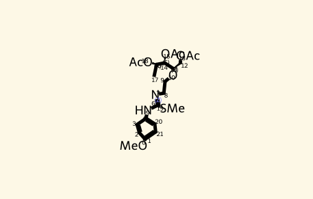 COc1ccc(N/C(=N/CCO[C@H](COC(C)=O)[C@@H](OC(C)=O)[C@@H](C)OC(C)=O)SC)cc1